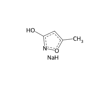 Cc1cc(O)no1.[NaH]